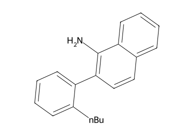 CCCCc1ccccc1-c1ccc2ccccc2c1N